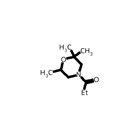 CCC(=O)N1CC(C)OC(C)(C)C1